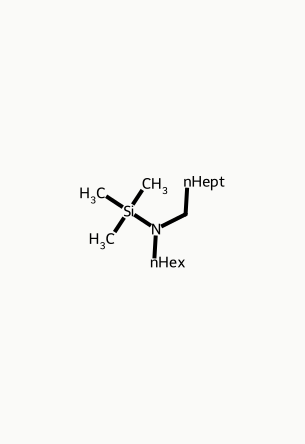 CCCCCCCCN(CCCCCC)[Si](C)(C)C